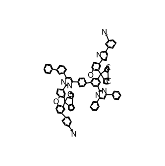 N#Cc1ccc(-c2ccc3c(c2)C2(c4cc(-c5nc(-c6ccc(-c7cc(-c8nc(-c9ccccc9)cc(-c9ccccc9)n8)cc8c7Oc7ccc(-c9ccc(-c%10cccc(C#N)c%10)cn9)cc7C87c8ccccc8-c8ccccc87)cc6)cc(-c6cccc(-c7ccccc7)c6)n5)ccc4O3)c3ccccc3-c3ccccc32)cc1